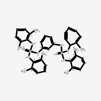 CC1=CC=CC#CC1OP(=O)(Oc1cccc(OP(=O)(Oc2c(C)cccc2C)Oc2c(C)cccc2C)c1)Oc1c(C)cccc1C